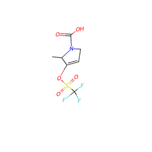 CC1C(OS(=O)(=O)C(F)(F)F)=CCN1C(=O)O